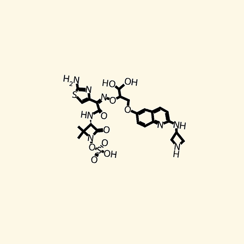 CC1(C)[C@H](NC(=O)/C(=N\OC(COc2ccc3nc(NC4CNC4)ccc3c2)C(O)O)c2csc(N)n2)C(=O)N1OS(=O)(=O)O